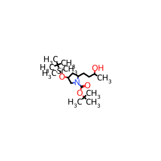 CC(O)CCC1CC(O[Si](C)(C)C(C)(C)C)CN1C(=O)OC(C)(C)C